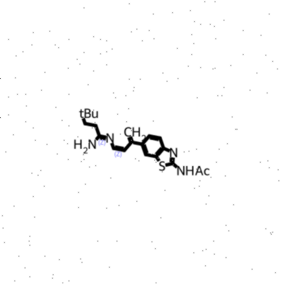 C=C(/C=C\N=C(/N)CCC(C)(C)C)c1ccc2nc(NC(C)=O)sc2c1